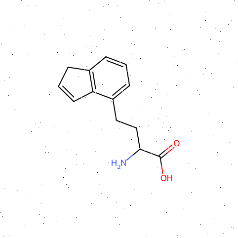 NC(CCc1cccc2c1C=CC2)C(=O)O